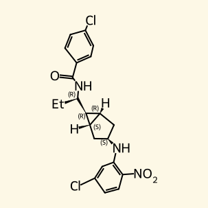 CC[C@@H](NC(=O)c1ccc(Cl)cc1)[C@H]1[C@@H]2C[C@@H](Nc3cc(Cl)ccc3[N+](=O)[O-])C[C@@H]21